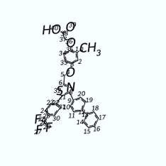 Cc1cc(OCc2nc(-c3ccc(-c4ccccc4)cc3)c(-c3ccc(C(F)(F)F)cc3)s2)ccc1OCC(=O)O